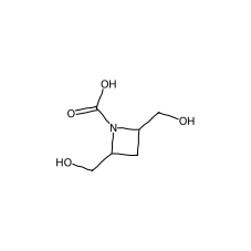 O=C(O)N1C(CO)CC1CO